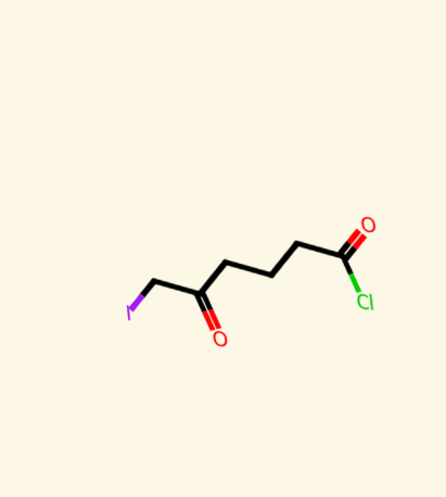 O=C(Cl)CCCC(=O)CI